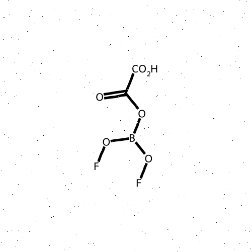 O=C(O)C(=O)OB(OF)OF